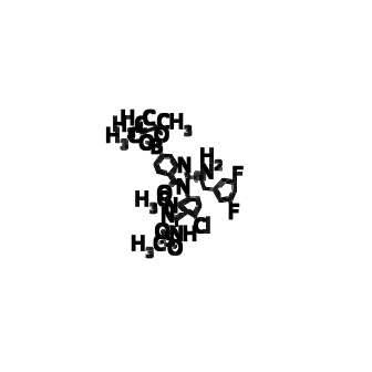 Cn1nc(NS(C)(=O)=O)c2c(Cl)ccc(-n3c([C@@H](N)Cc4cc(F)cc(F)c4)nc4cc(B5OC(C)(C)C(C)(C)O5)ccc4c3=O)c21